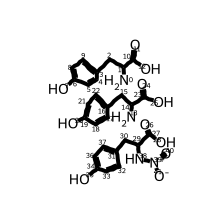 NC(Cc1ccc(O)cc1)C(=O)O.NC(Cc1ccc(O)cc1)C(=O)O.O=C(O)C(Cc1ccc(O)cc1)N[N+](=O)[O-]